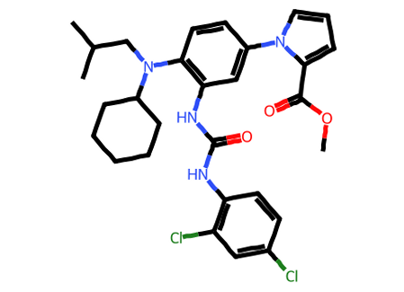 COC(=O)c1cccn1-c1ccc(N(CC(C)C)C2CCCCC2)c(NC(=O)Nc2ccc(Cl)cc2Cl)c1